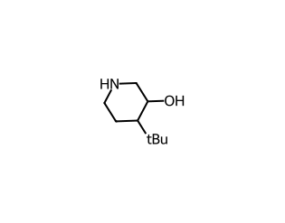 CC(C)(C)C1CCNCC1O